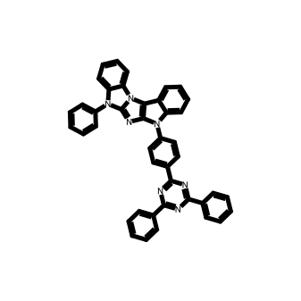 c1ccc(-c2nc(-c3ccccc3)nc(-c3ccc(-n4c5ccccc5c5c4nc4n(-c6ccccc6)c6ccccc6n54)cc3)n2)cc1